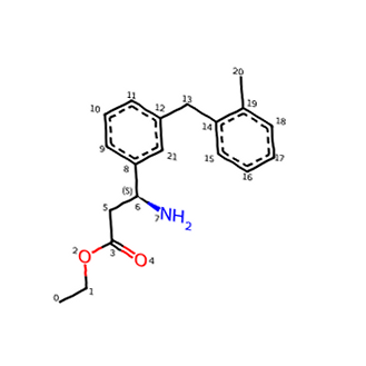 CCOC(=O)C[C@H](N)c1cccc(Cc2ccccc2C)c1